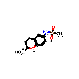 CS(=O)(=O)Nc1ccc2c(c1)CCC(C(=O)O)O2